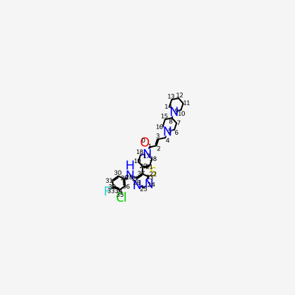 O=C(C=CCN1CCC(N2CCCCC2)CC1)N1CCc2c(sc3ncnc(Nc4ccc(F)c(Cl)c4)c23)C1